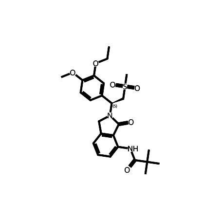 CCOc1cc([C@@H](CS(C)(=O)=O)N2Cc3cccc(NC(=O)C(C)(C)C)c3C2=O)ccc1OC